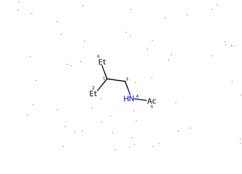 CCC(CC)CNC(C)=O